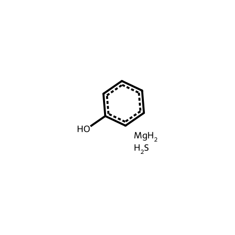 Oc1ccccc1.S.[MgH2]